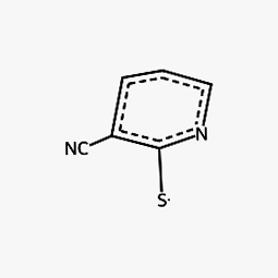 N#Cc1cccnc1[S]